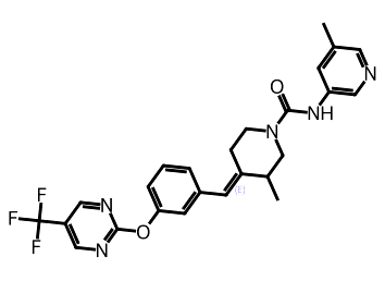 Cc1cncc(NC(=O)N2CC/C(=C\c3cccc(Oc4ncc(C(F)(F)F)cn4)c3)C(C)C2)c1